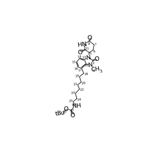 Cn1c(=O)n(C2CCC(=O)NC2=O)c2cccc(CCCCCCCCNC(=O)OC(C)(C)C)c21